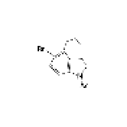 CC(=O)N1CC2CCCc3c(Br)ccc1c32